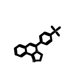 C[Si](C)(C)c1ccc(C2=Cc3ccccc3C3=NCCN23)cc1